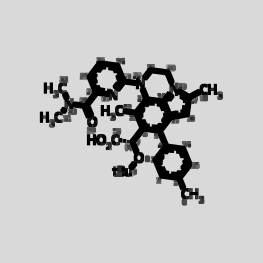 Cc1ccc(-c2c([C@H](OC(C)(C)C)C(=O)O)c(C)c3c4c2cc(C)n4CCN3c2cccc(C(=O)N(C)C)n2)cc1